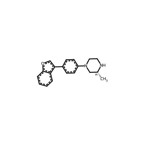 C[C@@H]1CN(c2ccc(-c3coc4ccccc34)cc2)CCN1